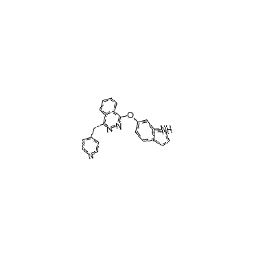 c1ccc2c(Oc3ccc4cc[nH]c4c3)nnc(Cc3ccncc3)c2c1